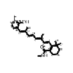 CNC(=O)C1=C(/C=C/C(C)=C/C=C/C(C)=C/c2nn[nH]c2O)C(C)(C)CCC1